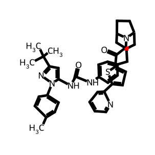 Cc1ccc(-n2nc(C(C)(C)C)cc2NC(=O)Nc2ccc(CC3CC4CCC(C3)N4CC(=O)c3ccc(-c4ccccn4)s3)cc2)cc1